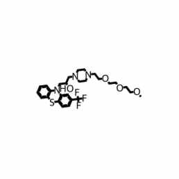 COCCOCCOCCN1CCN(CC(O)CN2c3ccccc3Sc3ccc(C(F)(F)F)cc32)CC1